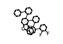 Fc1cccc(-c2cnnnc2-c2ccccc2-c2c(-c3ccccc3-c3ccccc3)ccc3oc4ccccc4c23)c1F